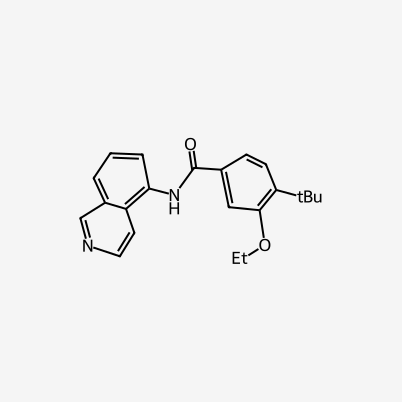 CCOc1cc(C(=O)Nc2cccc3cnccc23)ccc1C(C)(C)C